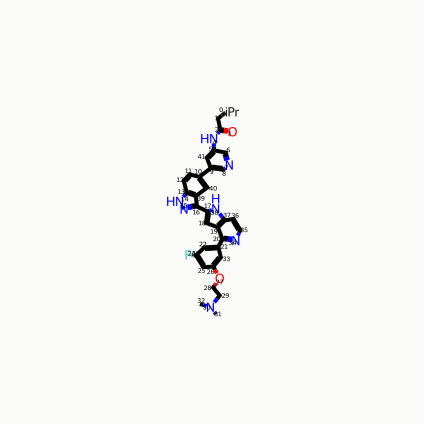 CC(C)CC(=O)Nc1cncc(-c2ccc3[nH]nc(-c4cc5c(-c6cc(F)cc(OCCN(C)C)c6)nccc5[nH]4)c3c2)c1